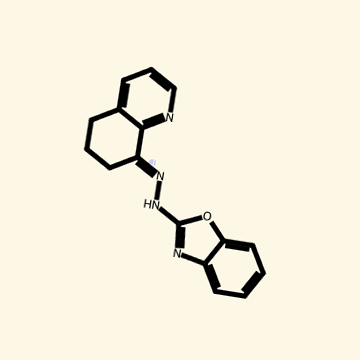 c1cnc2c(c1)CCC/C2=N\Nc1nc2ccccc2o1